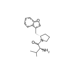 CC(C)[C@H](N)C(=O)N1CCC[C@H]1Cc1coc2ccccc12